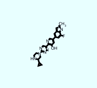 Cn1cc2cc(-c3cnc(-c4cnc(N5CCNC(C6CC6)C5)nn4)c(O)c3)cc(F)c2n1